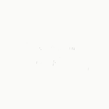 C[C@@H](NC(=O)c1ccc(Cl)c2c1NCC2)C(=O)N1CCC2(CC1)CC2